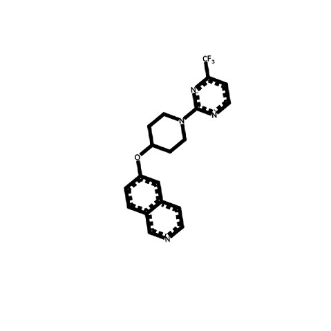 FC(F)(F)c1ccnc(N2CCC(Oc3ccc4cnccc4c3)CC2)n1